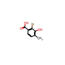 Cc1ccc(C(=O)O)c(Br)c1O